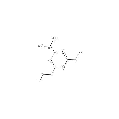 CCCC(OC(=O)CC)SCC(=O)O